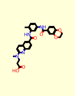 Cc1ccc(NC(=O)c2ccc3c(c2)OCCO3)cc1NC(=O)c1ccc2nc(N(C)CCC(=O)O)ccc2c1